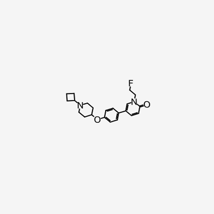 O=c1ccc(-c2ccc(OC3CCN(C4CCC4)CC3)cc2)cn1CCF